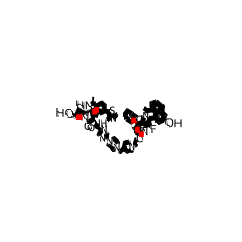 CCc1cccc2cc(O)cc(-c3ncc4c(N5CC6CCC(C5)N6C(=O)OC(C)(C)C)nc(OCCN5CCC(CN6CCN(c7cnc(C(=O)N[C@H](C(=O)N8C[C@H](O)C[C@H]8C(=O)N[C@@H](C)c8ccc(-c9scnc9C)cc8)C(C)(C)C)cn7)CC6)CC5)nc4c3F)c12